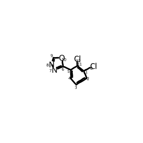 Clc1cccc(-c2nnco2)c1Cl